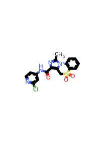 CC1=NC(C(=O)Nc2ccnc(Cl)c2)=C2CS(=O)(=O)c3ccccc3[N+]12